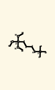 CO[Si](CCCS[Si](C)(C)C)(OC)OC